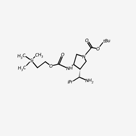 CC(C)C(N)[C@H]1CN(C(=O)OC(C)(C)C)C[C@H]1NC(=O)OCC[Si](C)(C)C